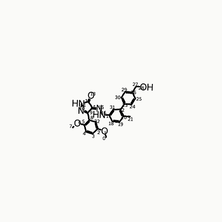 COc1ccc(OC)c(C2=NNC(=O)/C2=N/Nc2ccc(C)c(-c3ccc(CO)cc3)c2)c1